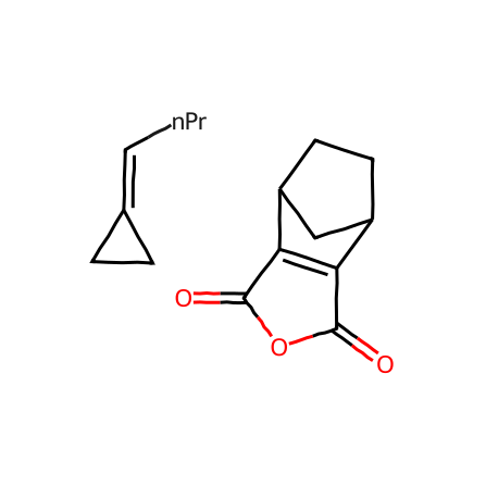 CCCC=C1CC1.O=C1OC(=O)C2=C1C1CCC2C1